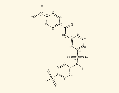 CN(c1ccc(S(C)(=O)=O)cc1)S(=O)(=O)c1cccc(NC(=O)c2ccc([S+](C)[O-])cc2)c1